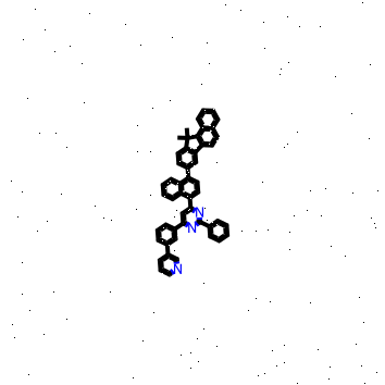 CC1(C)c2ccc(-c3ccc(-c4cc(-c5cccc(-c6cccnc6)c5)nc(-c5ccccc5)n4)c4ccccc34)cc2-c2ccc3ccccc3c21